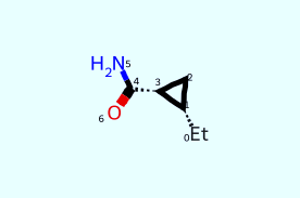 CC[C@H]1C[C@H]1C(N)=O